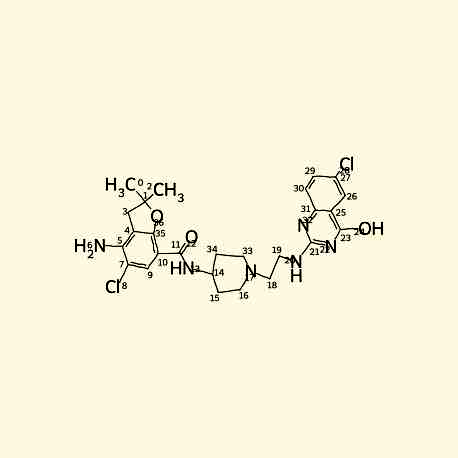 CC1(C)Cc2c(N)c(Cl)cc(C(=O)NC3CCN(CCNc4nc(O)c5cc(Cl)ccc5n4)CC3)c2O1